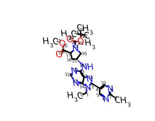 CCn1c(-c2cnc(C)nc2)nc2c(N[C@H]3CC(C(=O)OC)N(C(=O)OC(C)(C)C)C3)ncnc21